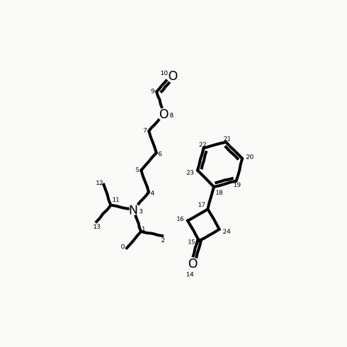 CC(C)N(CCCCOC=O)C(C)C.O=C1CC(c2ccccc2)C1